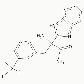 NC(=O)C(N)(Cc1cccc(C(F)(F)F)c1)c1nc2ccccc2[nH]1